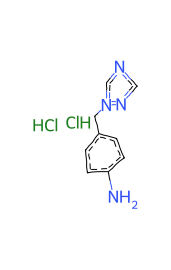 Cl.Cl.Nc1ccc(Cn2cncn2)cc1